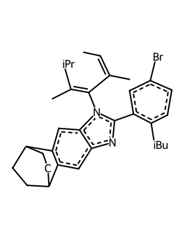 C/C=C(C)\C(=C(\C)C(C)C)n1c(-c2cc(Br)ccc2C(C)CC)nc2cc3c(cc21)C1CCC3CC1